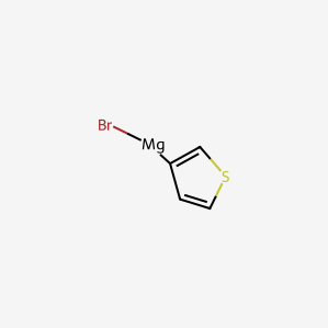 [Br][Mg][c]1ccsc1